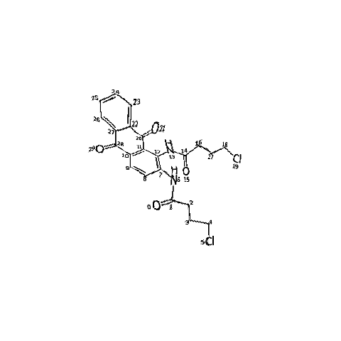 O=C(CCCCl)Nc1ccc2c(c1NC(=O)CCCCl)C(=O)c1ccccc1C2=O